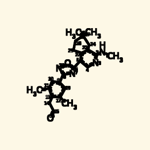 CNc1ncc(-c2nc(-c3cc(C)c(CC=O)c(C)c3)no2)c2c1CC(C)(C)CC2